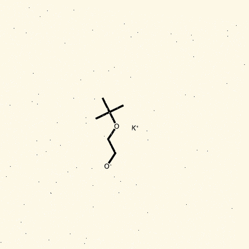 CC(C)(C)OCC[O-].[K+]